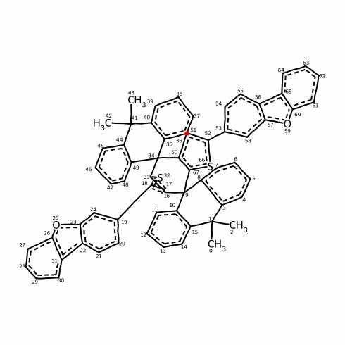 CC1(C)c2ccccc2C2(c3ccccc31)c1cc(-c3ccc4c(c3)oc3ccccc34)sc1C1(c3ccccc3C(C)(C)c3ccccc31)c1cc(-c3ccc4c(c3)oc3ccccc34)sc12